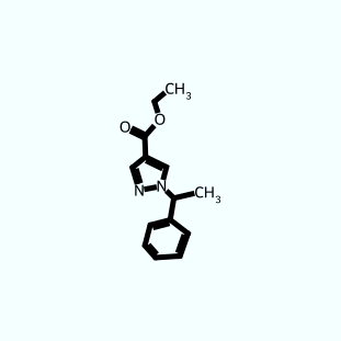 CCOC(=O)c1cnn(C(C)c2ccccc2)c1